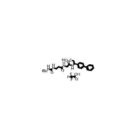 CC(C)(C)NC(=O)NCCC(=O)NCC(=O)NC(CC(=O)O)c1ccc(-c2ccccc2)cc1.O=C(O)C(F)(F)F